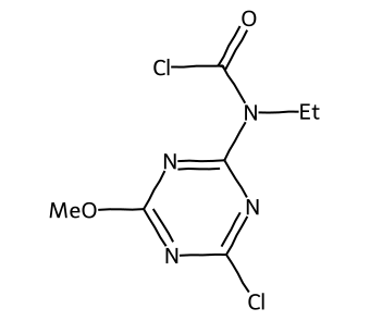 CCN(C(=O)Cl)c1nc(Cl)nc(OC)n1